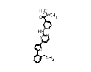 CCc1ccccc1-c1ccc(-c2ccnc(Nc3cccc(C(=O)N(C)C)c3)n2)s1